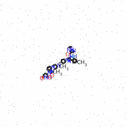 Cc1ccc(-c2nn([C@H]3CC[C@H](CN(C)C4CCN(c5cccc6c5n(C)c(=O)n6C5CCC(=O)NC5=O)CC4)CC3)cc2NC(=O)c2cnn3cccnc23)c(F)c1